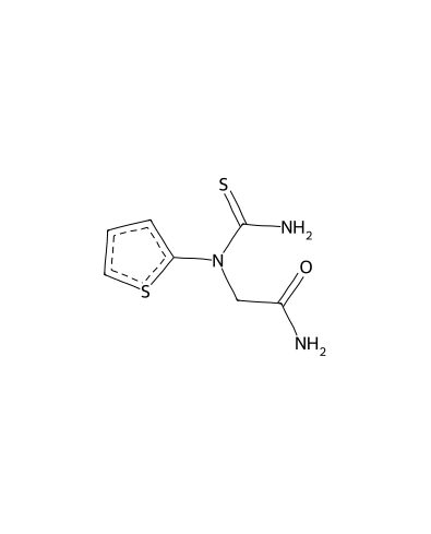 NC(=O)CN(C(N)=S)c1cccs1